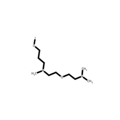 CN(C)CCOCCN(C)CCCOI